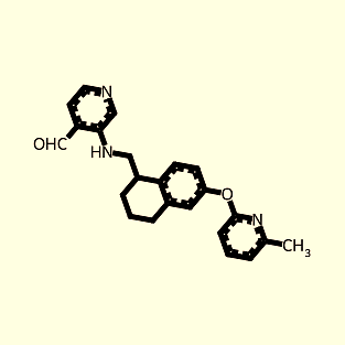 Cc1cccc(Oc2ccc3c(c2)CCCC3CNc2cnccc2C=O)n1